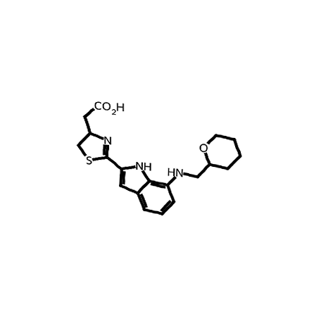 O=C(O)CC1CSC(c2cc3cccc(NCC4CCCCO4)c3[nH]2)=N1